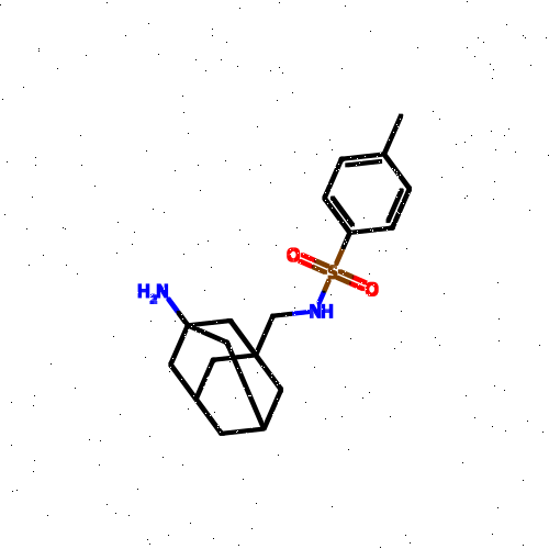 Cc1ccc(S(=O)(=O)NCC23CC4CC(CC(N)(C4)C2)C3)cc1